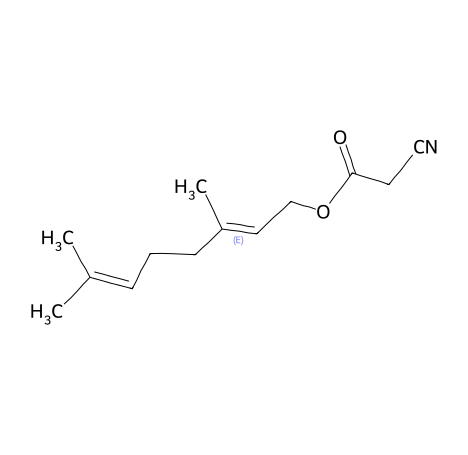 CC(C)=CCC/C(C)=C/COC(=O)CC#N